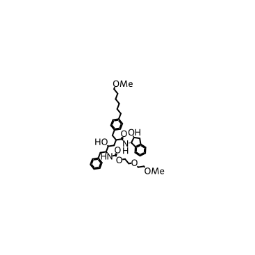 COCCCCCCc1ccc(CC(CC(O)C(Cc2ccccc2)NC(=O)OCCOCCOC)C(=O)N[C@H]2c3ccccc3C[C@@H]2O)cc1